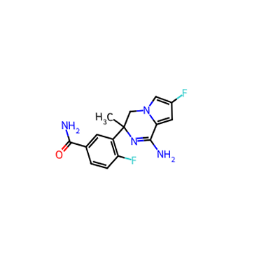 CC1(c2cc(C(N)=O)ccc2F)Cn2cc(F)cc2C(N)=N1